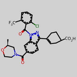 C[C@H]1CN(C(=O)c2ccc3c(C4=CCC(C(=O)O)CC4)nn(C(=O)c4c(Cl)cccc4C(F)(F)F)c3c2)CCO1